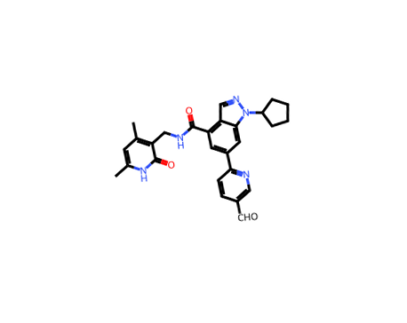 Cc1cc(C)c(CNC(=O)c2cc(-c3ccc(C=O)cn3)cc3c2cnn3C2CCCC2)c(=O)[nH]1